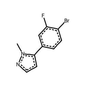 Cn1nccc1-c1ccc(Br)c(F)c1